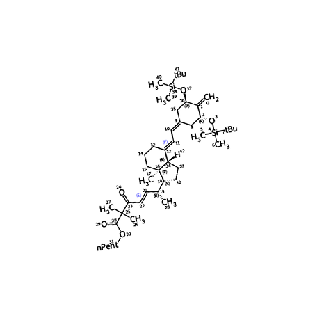 C=C1[C@H](O[Si](C)(C)C(C)(C)C)CC(=C/C=C2\CCC[C@]3(C)[C@@H]([C@H](C)/C=C/C(=O)C(C)(C)C(=O)OCCCCC)CC[C@@H]23)C[C@H]1O[Si](C)(C)C(C)(C)C